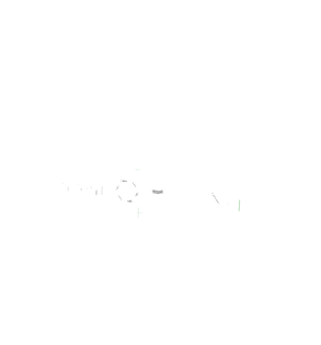 CCCCCc1cc(F)c(C#C[C@H]2CC[C@H](C=CCl)CC2)c(F)c1